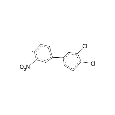 O=[N+]([O-])c1[c]ccc(-c2ccc(Cl)c(Cl)c2)c1